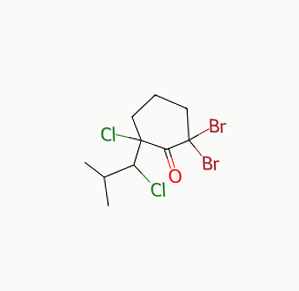 CC(C)C(Cl)C1(Cl)CCCC(Br)(Br)C1=O